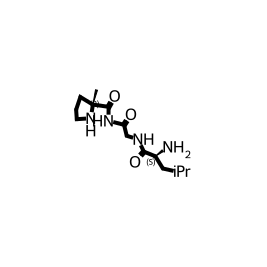 CC(C)C[C@H](N)C(=O)NCC(=O)NC(=O)[C@@]1(C)CCCN1